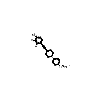 CCCCC[C@H]1CC[C@H](C2CCC(C#Cc3ccc(CC)c(F)c3F)CC2)CC1